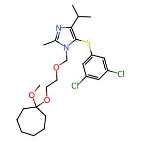 COC1(OCCOCn2c(C)nc(C(C)C)c2Sc2cc(Cl)cc(Cl)c2)CCCCCC1